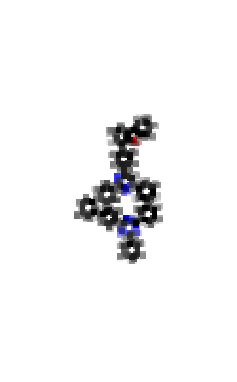 c1ccc(-c2ccc(-c3nc(-c4ccccc4)nc(-c4cccc(-c5cccc(-c6cc(-c7ccc(-c8cccc9c8oc8ccccc89)cc7)nc(-c7ccccc7)n6)c5)c4)n3)cc2)cc1